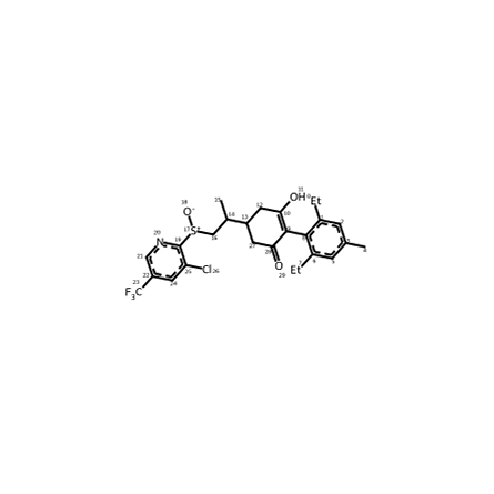 CCc1cc(C)cc(CC)c1C1=C(O)CC(C(C)C[S+]([O-])c2ncc(C(F)(F)F)cc2Cl)CC1=O